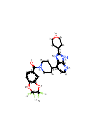 O=C(c1ccc2c(c1)OC(F)(F)C(F)(F)O2)N1CCC(c2ccnc3[nH]c(C4CCOCC4)nc23)CC1